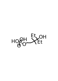 CCC(O)(CC)C(C)(C)CCOP(=O)(O)O